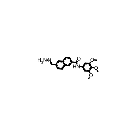 COc1cc(NC(=O)c2ccc3cc(C=NN)ccc3c2)cc(OC)c1OC